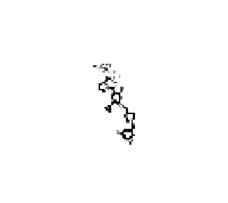 CC(C)(C)OC(=O)C1CCCN1C(=O)c1cc(C2CC2)c(OCC2CCN(Cc3cc(F)cc(Cl)c3)CC2)cc1F